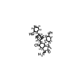 CC(C)c1ccc(C2CC23C(=O)N(C)c2cc(Cl)c(-c4ccc(-c5ccncc5O)cc4)cc23)cc1C(=O)O